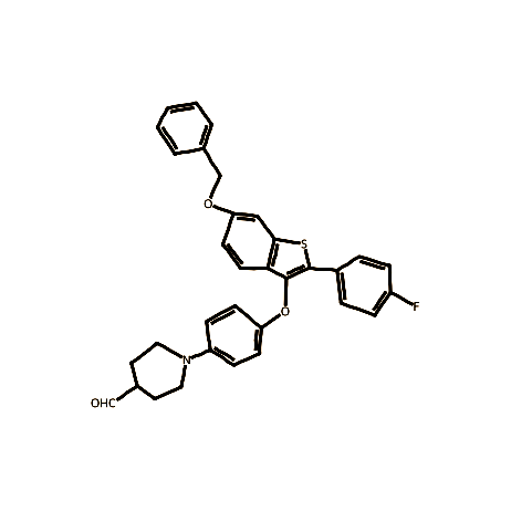 O=CC1CCN(c2ccc(Oc3c(-c4ccc(F)cc4)sc4cc(OCc5ccccc5)ccc34)cc2)CC1